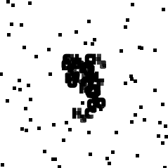 CCOC(=O)c1cc(F)c(-c2nc3cc(C)ccn3c2C[C@H]2CN(C(=O)OC)CCO2)c(F)c1